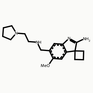 COc1cc2c(cc1CNCCN1CCCC1)N=C(N)C21CCC1